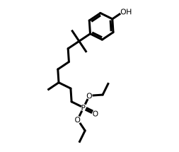 CCOP(=O)(CCC(C)CCCC(C)(C)c1ccc(O)cc1)OCC